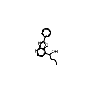 CCCC(O)c1ccnc2nc(-c3ccccc3)oc12